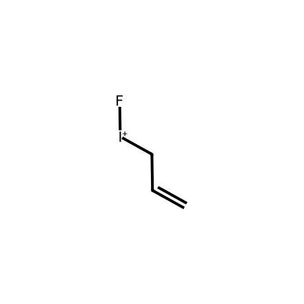 C=CC[I+]F